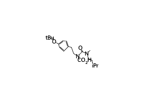 CC(C)CCN(C)C(=O)N(CCc1ccc(OC(C)(C)C)cc1)C(=O)O